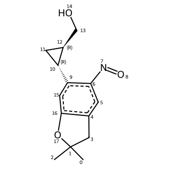 CC1(C)Cc2cc(N=O)c([C@@H]3C[C@H]3CO)cc2O1